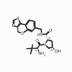 CC(C)(C)[C@H](N)C(=O)N1C[C@H](O)C[C@H]1C(=O)NCc1ccc2c(c1)OCc1ncsc1-2